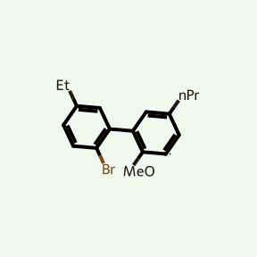 CCCc1c[c]c(OC)c(-c2cc(CC)ccc2Br)c1